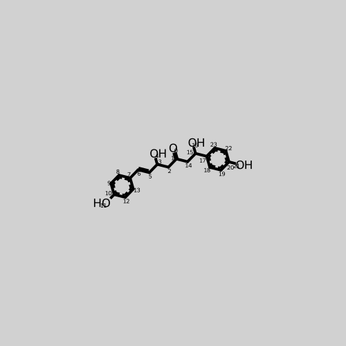 O=C(CC(O)/C=C/c1ccc(O)cc1)CC(O)c1ccc(O)cc1